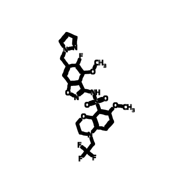 COc1ccc2c(c1S(=O)(=O)Nc1noc3cc(Cn4cccn4)c(F)c(OC)c13)OCCN2CC(F)(F)F